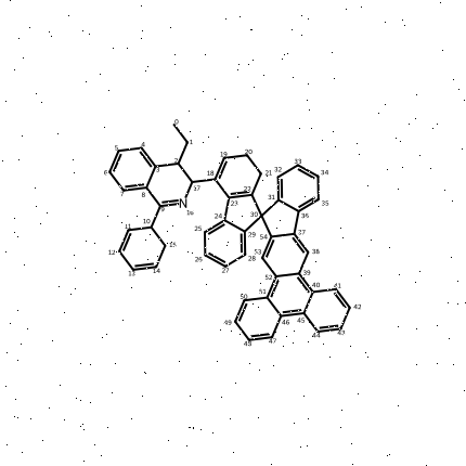 CCC1c2ccccc2C(C2C=CC=CC2)=NC1C1=CCCC2=C1c1ccccc1C21c2ccccc2-c2cc3c4ccccc4c4ccccc4c3cc21